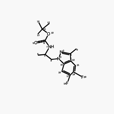 Cc1nn(CC(C)NC(=O)OC(C)(C)C)c2cc(F)c(F)cc12